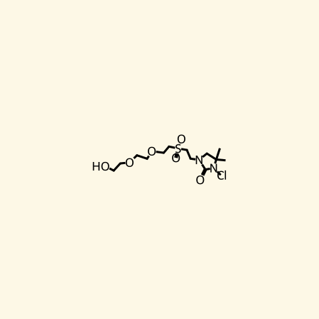 CC1(C)CN(CCS(=O)(=O)CCOCCOCCO)C(=O)N1Cl